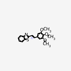 COc1cc(/C=C/c2nc3ccccc3s2)cc(OC)c1OC